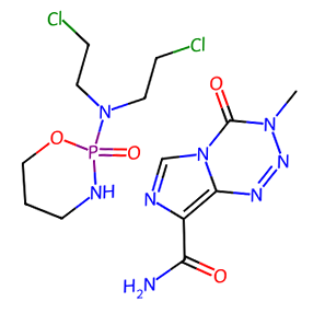 Cn1nnc2c(C(N)=O)ncn2c1=O.O=P1(N(CCCl)CCCl)NCCCO1